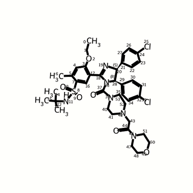 CCOc1cc(C)c(S(=O)(=O)NC(C)(C)C)cc1C1=N[C@@H](c2ccc(Cl)cc2)[C@@H](c2ccc(Cl)cc2)N1C(=O)N1CCN(CC(=O)N2CCOCC2)CC1